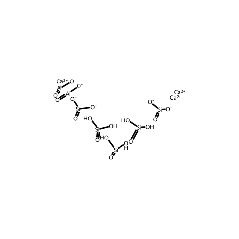 O=[Si](O)O.O=[Si](O)O.O=[Si](O)O.O=[Si]([O-])[O-].O=[Si]([O-])[O-].[Ca+2].[Ca+2].[Ca+2].[O]=[Al][O-].[O]=[Al][O-]